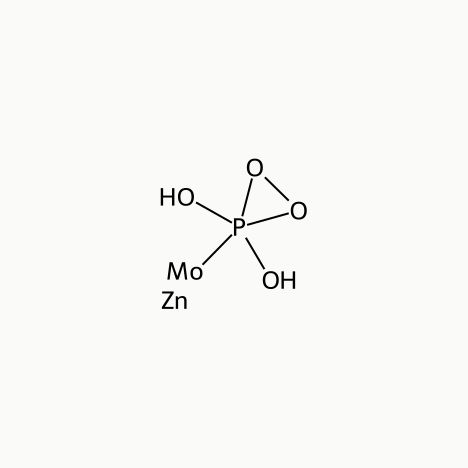 O[P]1(O)([Mo])OO1.[Zn]